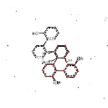 Oc1ccccc1-c1cccc(O)c1-c1cccc(O)c1-c1cccc(O)c1-c1cccc(O)c1-c1cccc(O)c1-c1cccc(O)c1-c1cccc(O)c1-c1ccccc1O